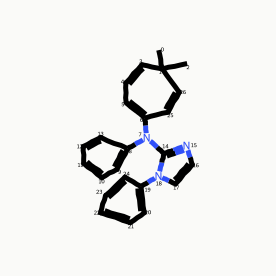 CC1(C)C=CC=C(N(c2ccccc2)c2nccn2-c2ccccc2)C=C1